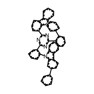 c1ccc(-c2ccc3c4ccccc4n(-c4ccccc4-c4nc(-c5ccccc5-c5ccccc5)nc(-c5cccc6c5sc5ccccc56)n4)c3c2)cc1